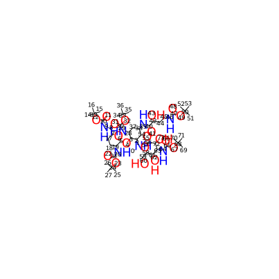 CNC1C(O[C@H]2OC(CNC(=O)OC(C)(C)C)CCC2NC(=O)OC(C)(C)C)[C@H](NC(=O)OC(C)(C)C)C[C@@H](NC(=O)[C@@H](O)CCNC(=O)OC(C)(C)C)[C@@H]1O[C@H]1OC(CO)[C@@H](O)[C@H](NC(=O)OC(C)(C)C)C1O